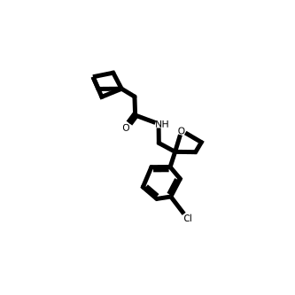 O=C(CC12CC(C1)C2)NCC1(c2cccc(Cl)c2)CCO1